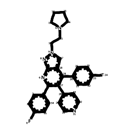 Fc1ccc(-c2nc3nn(CCN4CCCC4)cc3c(-c3ccc(F)cc3)c2-c2ccncc2)cc1